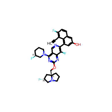 C#Cc1c(F)ccc2cc(O)cc(-c3ncc4c(N5CCC[C@H](F)C5)nc(OC[C@@]56CCCN5C[C@H](F)C6)nc4c3F)c12